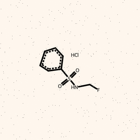 Cl.O=S(=O)(NCF)c1ccccc1